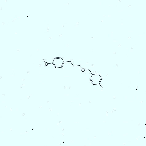 COc1ccc(CCCOCc2ccc(C)cc2)cc1